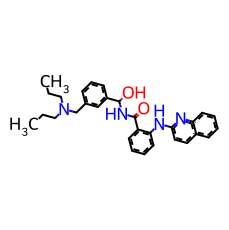 CCCN(CCC)Cc1cccc(C(O)NC(=O)c2ccccc2Nc2ccc3ccccc3n2)c1